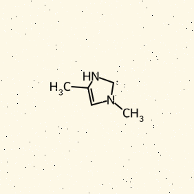 CC1=CN(C)[C]N1